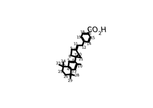 Cc1cc2c(cc1C13CCC(=CCc4ccc(C(=O)O)cc4)C1C3)C(C)(C)CCC2(C)C